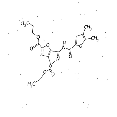 CCCOC(=O)c1cc2c(o1)c(NC(=O)c1cc(C)c(C)o1)nn2C(=O)OCC